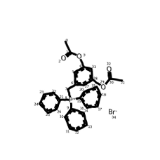 CC(=O)Oc1cc(C[P+](c2ccccc2)(c2ccccc2)c2ccccc2)cc(OC(C)=O)c1.[Br-]